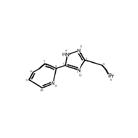 CC(C)Cc1n[nH]c(-c2ccccn2)n1